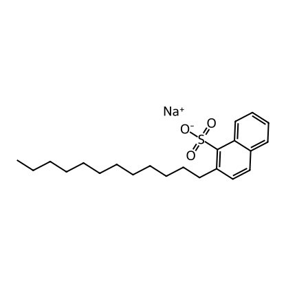 CCCCCCCCCCCCc1ccc2ccccc2c1S(=O)(=O)[O-].[Na+]